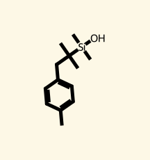 Cc1ccc(CC(C)(C)[Si](C)(C)O)cc1